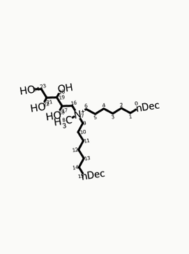 CCCCCCCCCCCCCCCC[N+](C)(CCCCCCCCCCCCCCCC)CC(O)C(O)C(O)CO